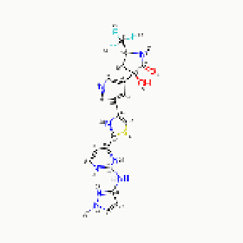 CN1C(=O)[C@](O)(c2cncc(-c3csc(-c4ccnc(Nc5ccn(C)n5)n4)n3)c2)C[C@H]1C(F)(F)F